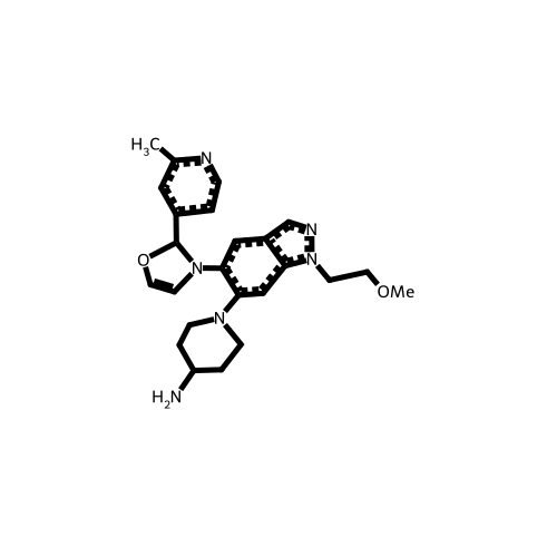 COCCn1ncc2cc(N3C=COC3c3ccnc(C)c3)c(N3CCC(N)CC3)cc21